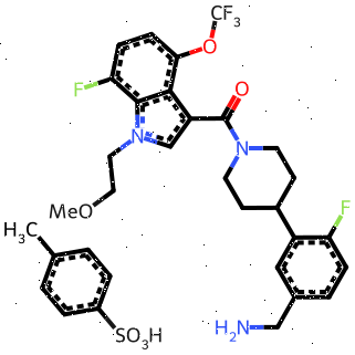 COCCn1cc(C(=O)N2CCC(c3cc(CN)ccc3F)CC2)c2c(OC(F)(F)F)ccc(F)c21.Cc1ccc(S(=O)(=O)O)cc1